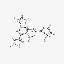 Cc1cnc(-c2nc3c(C)[nH]nc3c(NCc3c[nH]nc3C)c2C(C)C)s1